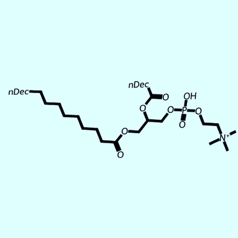 CCCCCCCCCCCCCCCCCCC(=O)OCC(COP(=O)(O)OCC[N+](C)(C)C)OC(=O)CCCCCCCCCC